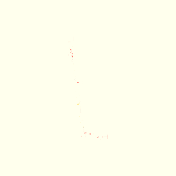 O=C(CCSCSCCC[S+]([O-])CSCSCSC(=O)CCSCSCCCOOCSCO)OCSCO